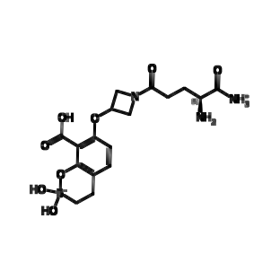 N[C@@H](CCC(=O)N1CC(Oc2ccc3c(c2C(=O)O)O[B-](O)(O)CC3)C1)C([NH3+])=O